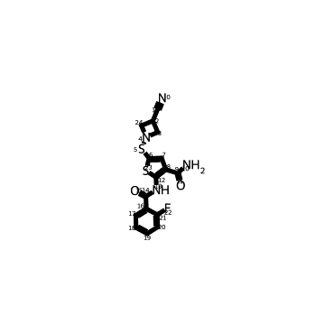 N#CC1CN(Sc2cc(C(N)=O)c(NC(=O)c3ccccc3F)s2)C1